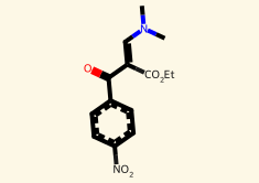 CCOC(=O)/C(=C\N(C)C)C(=O)c1ccc([N+](=O)[O-])cc1